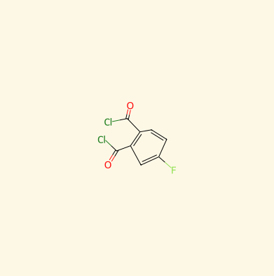 O=C(Cl)c1ccc(F)cc1C(=O)Cl